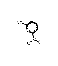 N#Cc1cccc([S+]([O-])Cl)n1